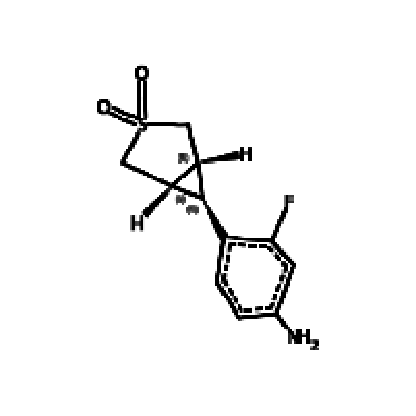 Nc1ccc([C@H]2[C@@H]3CS(=O)(=O)C[C@@H]32)c(F)c1